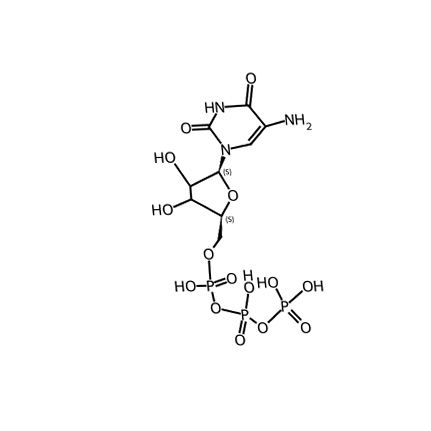 Nc1cn([C@H]2O[C@@H](COP(=O)(O)OP(=O)(O)OP(=O)(O)O)C(O)C2O)c(=O)[nH]c1=O